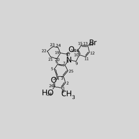 CC(=Cc1cccc(N(Cc2ccc(Br)cc2)C(=O)C2CCCCC2)c1)C(=O)O